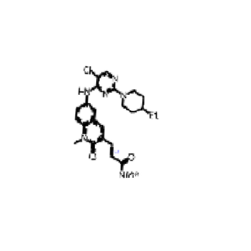 CCC1CCN(c2ncc(Cl)c(Nc3ccc4c(c3)cc(/C=C/C(=O)NC)c(=O)n4C)n2)CC1